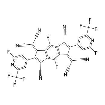 N#CC(C#N)=C1C(c2cc(F)nc(C(F)(F)F)c2)=C(C#N)c2c(F)c3c(c(F)c21)C(C#N)=C(c1cc(F)nc(C(F)(F)F)c1)C3=C(C#N)C#N